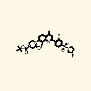 Cc1cc(-c2ccc(S(=O)(=O)N3CC[C@H](F)C3)cc2F)nc2c(F)c(N3CCN(C(=O)OC(C)(C)C)CC3=O)ccc12